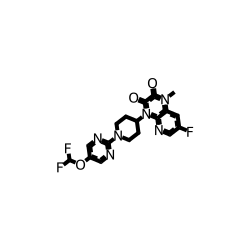 Cn1c(=O)c(=O)n(C2CCN(c3ncc(OC(F)F)cn3)CC2)c2ncc(F)cc21